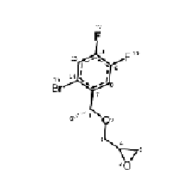 C[C@@H](OCC1CO1)c1cc(F)c(F)cc1Br